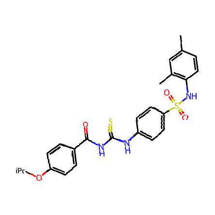 Cc1ccc(NS(=O)(=O)c2ccc(NC(=S)NC(=O)c3ccc(OC(C)C)cc3)cc2)c(C)c1